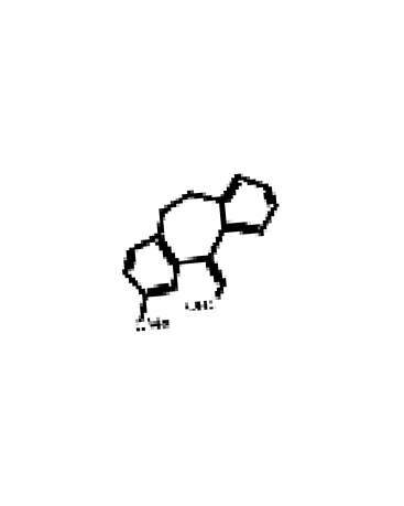 COc1ccc2c(c1)C(=CC=O)c1ccccc1CC2